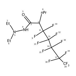 CCCC(C(=O)NN(CC)CC)C(F)(F)C(F)(F)C(F)(F)C(F)(F)C(F)(F)F